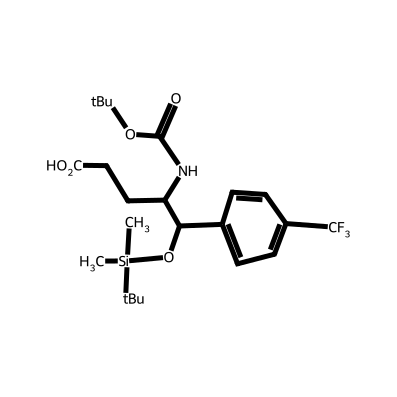 CC(C)(C)OC(=O)NC(CCC(=O)O)C(O[Si](C)(C)C(C)(C)C)c1ccc(C(F)(F)F)cc1